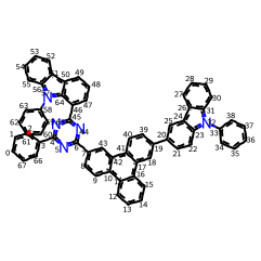 c1ccc(-c2nc(-c3ccc4c5ccccc5c5cc(-c6ccc7c(c6)c6ccccc6n7-c6ccccc6)ccc5c4c3)nc(-c3cccc4c5ccccc5n(-c5ccccc5)c34)n2)cc1